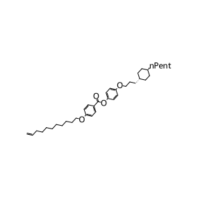 C=CCCCCCCCCCOc1ccc(C(=O)Oc2ccc(OCCC[C@H]3CC[C@H](CCCCC)CC3)cc2)cc1